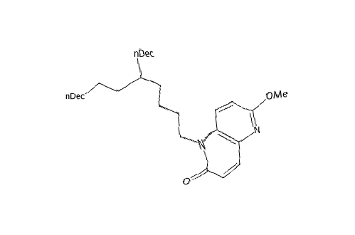 CCCCCCCCCCCCC(CCCCCCCCCC)CCCCn1c(=O)ccc2nc(OC)ccc21